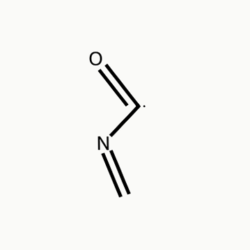 C=N[C]=O